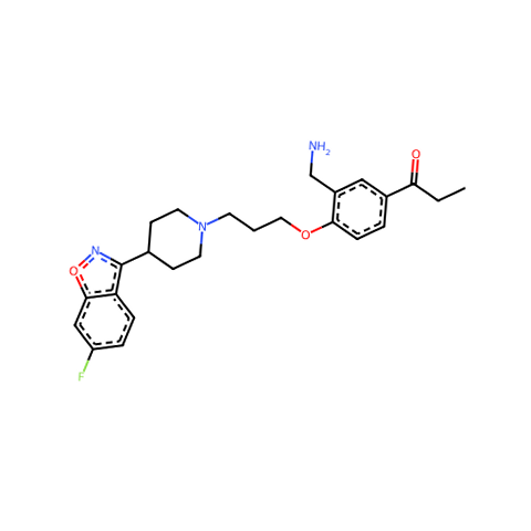 CCC(=O)c1ccc(OCCCN2CCC(c3noc4cc(F)ccc34)CC2)c(CN)c1